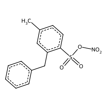 Cc1ccc(S(=O)(=O)O[N+](=O)[O-])c(Cc2ccccc2)c1